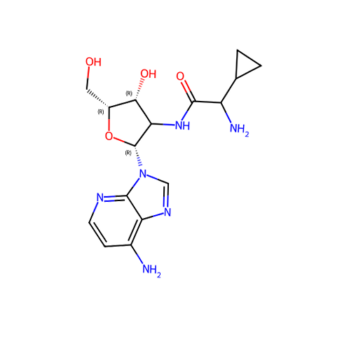 Nc1ccnc2c1ncn2[C@@H]1O[C@H](CO)[C@H](O)C1NC(=O)C(N)C1CC1